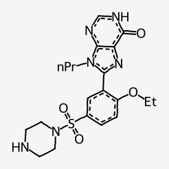 CCCn1c(-c2cc(S(=O)(=O)N3CCNCC3)ccc2OCC)nc2c(=O)[nH]cnc21